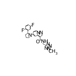 Cn1nnc(CNC(=O)c2cnn3ccc(N4CCCC4c4cc(F)ccc4F)cc23)n1